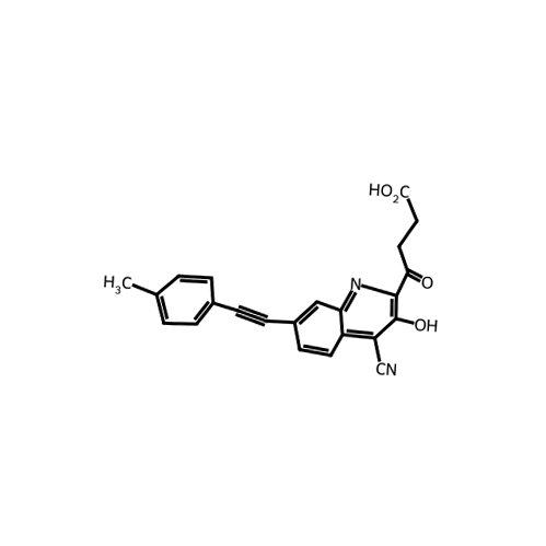 Cc1ccc(C#Cc2ccc3c(C#N)c(O)c(C(=O)CCC(=O)O)nc3c2)cc1